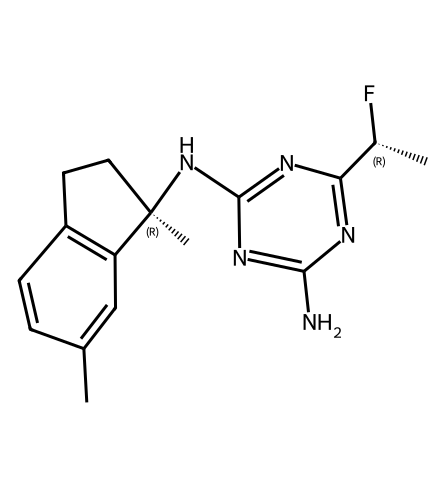 Cc1ccc2c(c1)[C@](C)(Nc1nc(N)nc([C@@H](C)F)n1)CC2